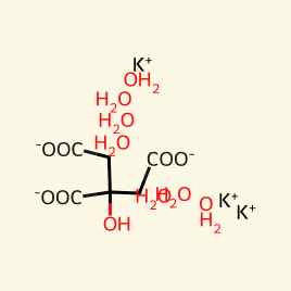 O.O.O.O.O.O.O.O=C([O-])CC(O)(CC(=O)[O-])C(=O)[O-].[K+].[K+].[K+]